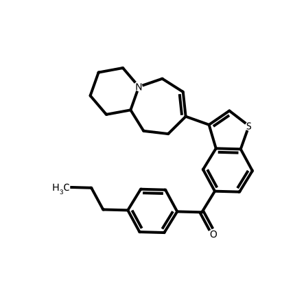 CCCc1ccc(C(=O)c2ccc3scc(C4=CCN5CCCCC5CC4)c3c2)cc1